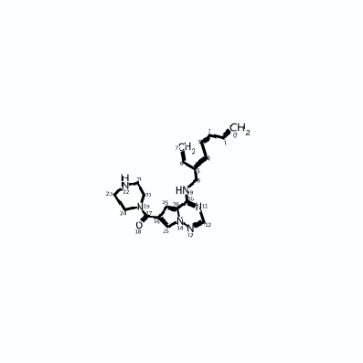 C=C/C=C\C=C(/C=C)CNc1ncnn2cc(C(=O)N3CCNCC3)cc12